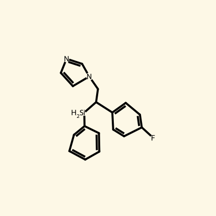 Fc1ccc(C(Cn2ccnc2)[SiH2]c2ccccc2)cc1